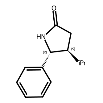 CC(C)[C@@H]1CC(=O)N[C@H]1c1ccccc1